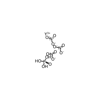 O=P(O)(O)O.O=[N+]([O-])[O-].O=[N+]([O-])[O-].O=[N+]([O-])[O-].[Y+3]